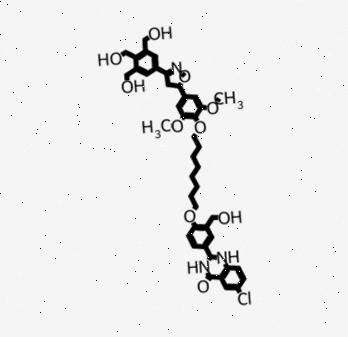 COc1cc(C2CC(c3cc(CO)c(CO)c(CO)c3)=NO2)cc(OC)c1OCCCCCCCCOc1ccc(C2NC(=O)c3cc(Cl)ccc3N2)cc1CO